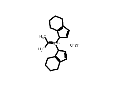 C[C](C)=[Zr+2]([CH]1C=CC2=C1CCCC2)[CH]1C=CC2=C1CCCC2.[Cl-].[Cl-]